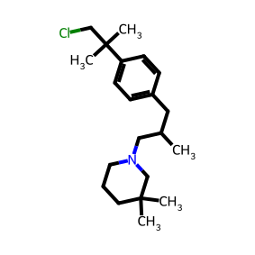 CC(Cc1ccc(C(C)(C)CCl)cc1)CN1CCCC(C)(C)C1